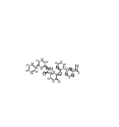 CNc1ncnc(-c2cccnc2Oc2cc(C(=O)Nc3cccc(-c4ccccc4)c3)ccc2C)n1